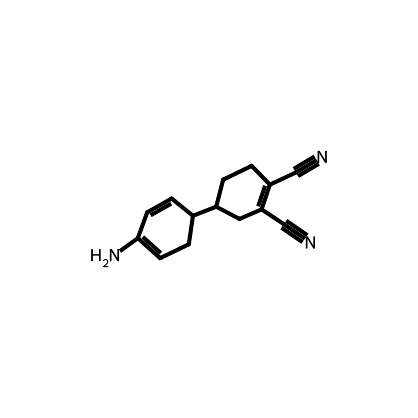 N#CC1=C(C#N)CC(C2C=CC(N)=CC2)CC1